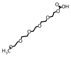 COCCOCCOCCOCCOCCOC(=O)O